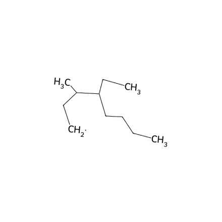 [CH2]CC(C)C(CC)CCCC